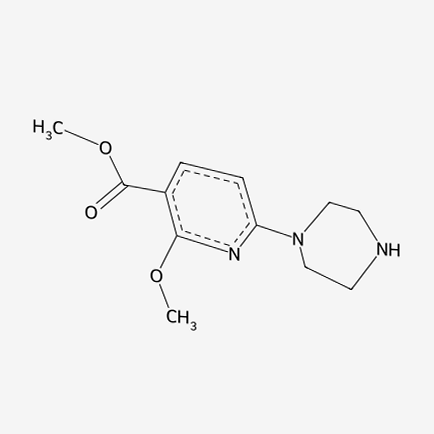 COC(=O)c1ccc(N2CCNCC2)nc1OC